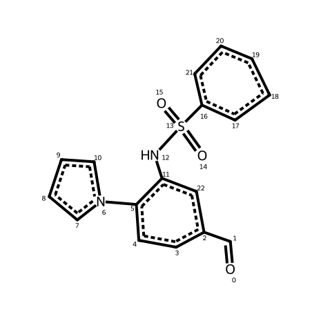 O=Cc1ccc(-n2cccc2)c(NS(=O)(=O)c2ccccc2)c1